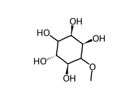 COC1[C@@H](O)[C@H](O)C(O)[C@@H](O)[C@H]1O